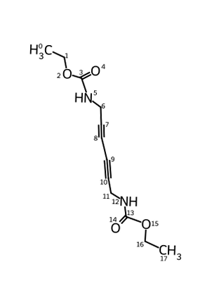 CCOC(=O)NCC#CC#CCNC(=O)OCC